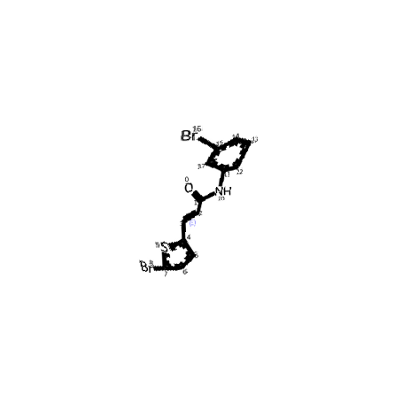 O=C(/C=C/c1ccc(Br)s1)Nc1cccc(Br)c1